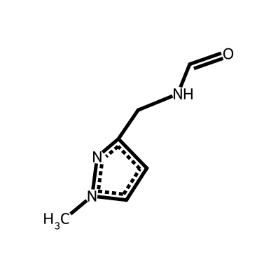 Cn1ccc(CNC=O)n1